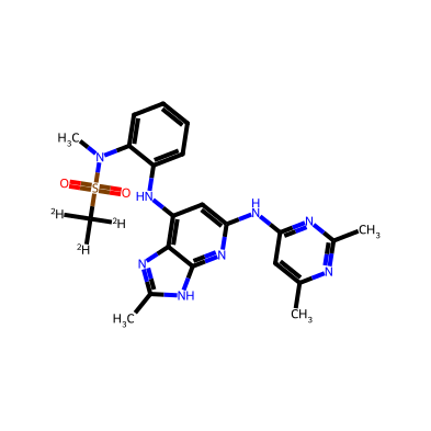 [2H]C([2H])([2H])S(=O)(=O)N(C)c1ccccc1Nc1cc(Nc2cc(C)nc(C)n2)nc2[nH]c(C)nc12